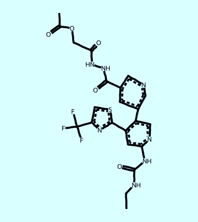 CCNC(=O)Nc1cc(-c2nc(C(F)(F)F)cs2)c(-c2cncc(C(=O)NNC(=O)COC(C)=O)c2)cn1